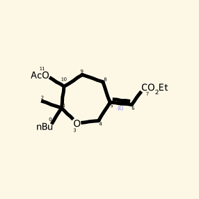 CCCCC1(C)OC/C(=C/C(=O)OCC)CCC1OC(C)=O